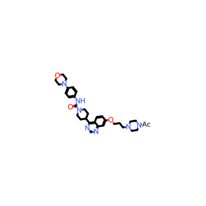 CC(=O)N1CCN(CCCOc2ccc3c(C4CCN(C(=O)Nc5ccc(N6CCOCC6)cc5)CC4)ncnc3c2)CC1